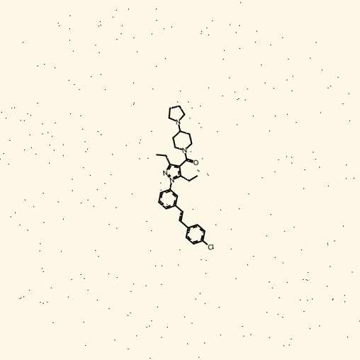 CCc1nn(-c2cccc(/C=C/c3ccc(Cl)cc3)c2)c(CC)c1C(=O)N1CCC(N2CCCC2)CC1